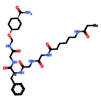 CCC(C)CC(=O)NCCCCCC(=O)NCC(=O)NCC(=O)N[C@@H](Cc1ccccc1)C(=O)NCC(=O)NCO[C@H]1CC[C@@H](C(N)=O)CC1